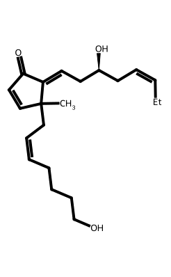 CC/C=C\C[C@H](O)C/C=C1/C(=O)C=CC1(C)C/C=C\CCCCO